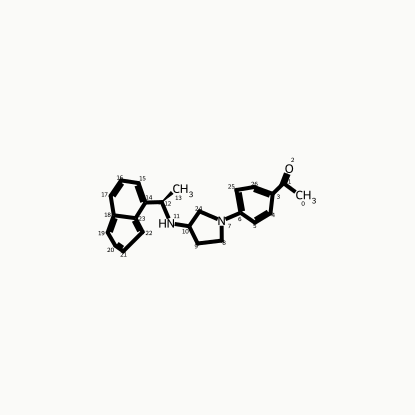 CC(=O)c1ccc(N2CCC(N[C@H](C)c3cccc4ccccc34)C2)cc1